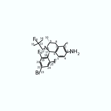 Cc1c(N)ccc2c1C[C@@H](C)N(CC(C)(C)F)[C@@H]2c1c(F)cc(Br)cc1F